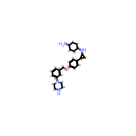 NC1CCC(NC2CC2c2ccc(OCc3cccc(N4CCNCC4)c3)cc2)CC1